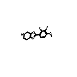 COc1ccc(-c2nc3c(s2)CNCC3)c(F)c1F